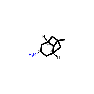 CC12C[C@H]3C[C@@H](N)C[C@@H](C1)C32